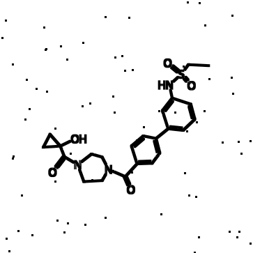 CCS(=O)(=O)Nc1cccc(-c2ccc(C(=O)N3CCN(C(=O)C4(O)CC4)CC3)cc2)c1